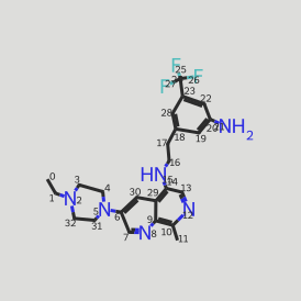 CCN1CCN(c2cnc3c(C)ncc(NCCc4cc(N)cc(C(F)(F)F)c4)c3c2)CC1